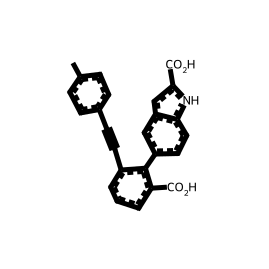 Cc1ccc(C#Cc2cccc(C(=O)O)c2-c2ccc3[nH]c(C(=O)O)cc3c2)cc1